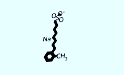 Cc1ccccc1CCCCCCCCS(=O)(=O)[O-].[Na+]